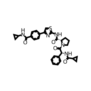 O=C(NC1CC1)c1ccc(-c2csc(NC(=O)[C@@H]3CCCN3C(=O)[C@H](NC(=O)C3CC3)c3ccccc3)n2)cc1